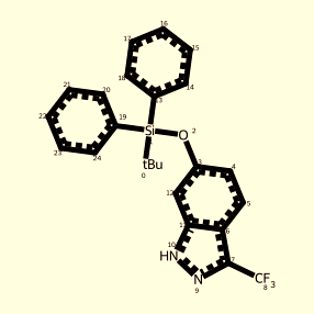 CC(C)(C)[Si](Oc1ccc2c(C(F)(F)F)n[nH]c2c1)(c1ccccc1)c1ccccc1